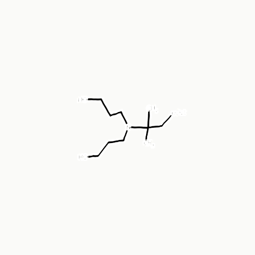 CCCCCCCCCC(C)(C)N(CCCO)CCCO